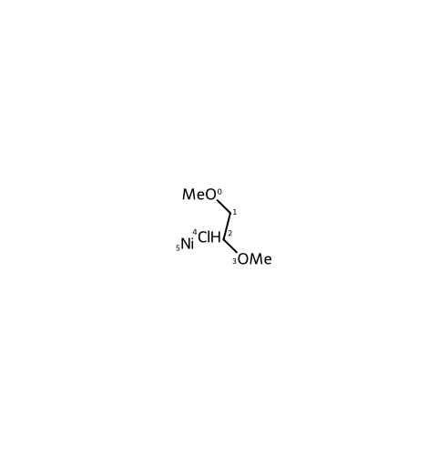 COCCOC.Cl.[Ni]